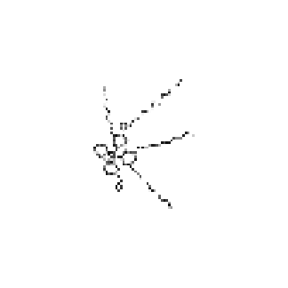 CCCCCCCCCCCCOc1ccc([Si]2(c3cc(CCCCCCCCCC)cc(CCCCCCCCCC)c3)c3ccccc3-c3ccc(C=O)cc32)cc1CCCCCCCC